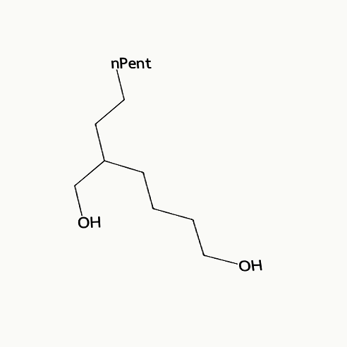 CCCCCCCC(CO)CCCCO